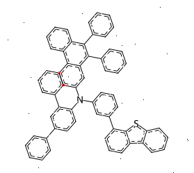 c1ccc(-c2ccc(N(c3cccc(-c4cccc5c4sc4ccccc45)c3)c3ccc4c(c3)c(-c3ccccc3)c(-c3ccccc3)c3ccccc34)c(-c3ccccc3)c2)cc1